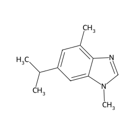 Cc1cc(C(C)C)cc2c1ncn2C